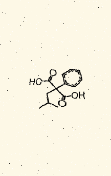 CC(C)CC(C(=O)O)(C(=O)O)c1ccccc1